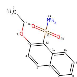 CCOc1ccc2ccccc2c1S(N)(=O)=O